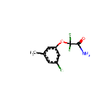 NC(=O)C(F)(F)Oc1cc(Cl)cc(C(F)(F)F)c1